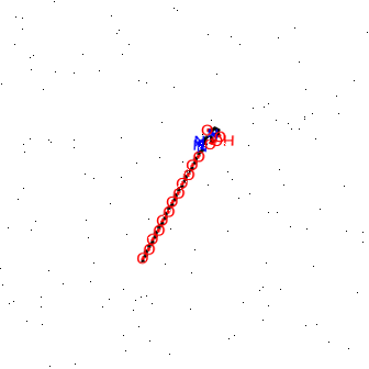 COCCOCCOCCOCCOCCOCCOCCOCCOCCOCCOCCOCCn1cc(CC(C(=O)O)N2C(=O)C=CC2=O)nn1